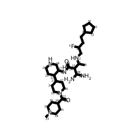 CC(NCC(F)CCC1CCCC1)C(C(=O)NC1CNCCC1C1CCN(C(=O)C2CCN(C)CC2)CC1)C(N)N